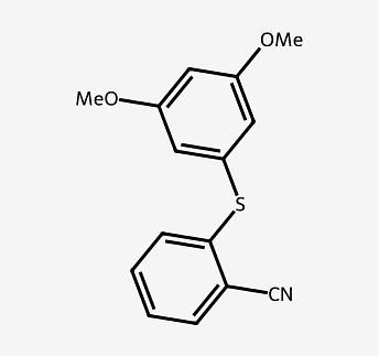 COc1cc(OC)cc(Sc2ccccc2C#N)c1